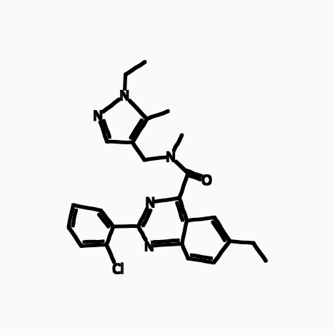 CCc1ccc2nc(-c3ccccc3Cl)nc(C(=O)N(C)Cc3cnn(CC)c3C)c2c1